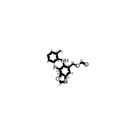 Cc1ccccc1Nc1c(COC=O)cc2ncoc2c1F